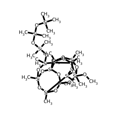 CO[Si]1(C)O[Si]2(C)O[Si]3(C)O[Si]4(C)O[Si](C)(O[Si](C)(C)O[Si](C)(C)O[Si](C)(C)C)O[Si]5(C)O[Si]3(C)O[Si](C)(O1)O[Si](C)(O5)[Si](C)(O2)O4